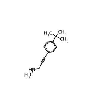 CNCC#Cc1ccc(C(C)(C)C)cc1